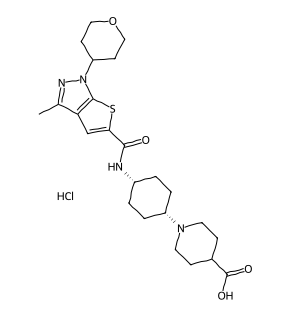 Cc1nn(C2CCOCC2)c2sc(C(=O)N[C@H]3CC[C@@H](N4CCC(C(=O)O)CC4)CC3)cc12.Cl